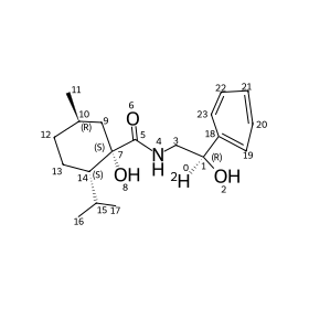 [2H][C@](O)(CNC(=O)[C@]1(O)C[C@H](C)CC[C@H]1C(C)C)c1ccccc1